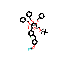 CO[C@@]1(c2ccc(Cl)c(Cc3ccc(OC(F)(F)F)cc3)c2)O[C@H](CO[Si](C)(C)C(C)(C)C)[C@@H](OCc2ccccc2)[C@H](OCc2ccccc2)[C@H]1OCc1ccccc1